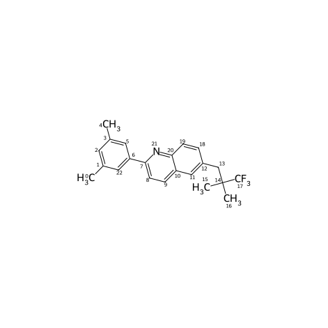 Cc1cc(C)cc(-c2ccc3cc(CC(C)(C)C(F)(F)F)ccc3n2)c1